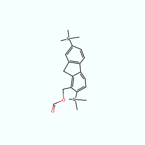 C[Si](C)(C)c1ccc2c(c1)Cc1c-2ccc([Si](C)(C)C)c1CO[C]=O